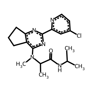 CC(C)NC(=O)C(C)N(C)c1nc(-c2cc(Cl)ccn2)nc2c1CCC2